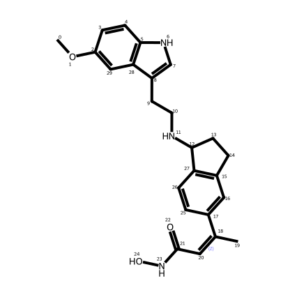 COc1ccc2[nH]cc(CCNC3CCc4cc(/C(C)=C\C(=O)NO)ccc43)c2c1